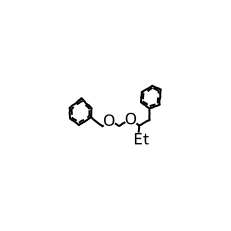 CCC(Cc1ccccc1)OCOCc1ccccc1